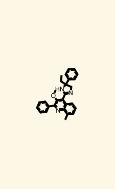 CCC1(c2ccccc2)CN=C(c2c(OC)c(-c3ccccc3)nc3c(C)cccc23)N1